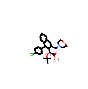 CC(C)(C)O[C@H](C(=O)O)c1c(CN2CCOCC2)cc2ccccc2c1-c1ccc(Cl)cc1